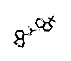 O=C(Nc1cccc2cnccc12)N[C@@H]1CCOc2c1cccc2C(F)(F)F